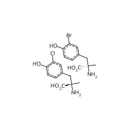 C[C@@](N)(Cc1ccc(O)c(Br)c1)C(=O)O.C[C@](N)(Cc1ccc(O)c(Cl)c1)C(=O)O